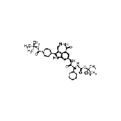 CC(C)(C)OC(=O)N[C@@H](C(=O)Nc1cc2c3c(c(C4CCN(C(=O)OC(C)(C)C)CC4)[nH]c3c1)C=NNC2=O)C1CCCCC1